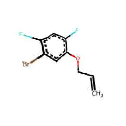 C=CCOc1cc(Br)c(F)cc1F